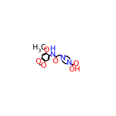 COc1cc2c(cc1NC(=O)CN1CCN(C(=O)O)CC1)OCO2